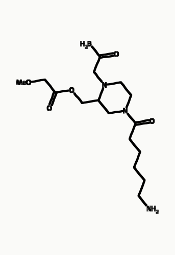 BC(=O)CN1CCN(C(=O)CCCCCN)CC1COC(=O)COC